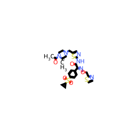 CC(=O)N1CCN(Cc2cnc(NC(=O)/C(=N/OCc3nccs3)c3ccc(S(=O)(=O)C4CC4)cc3)s2)C[C@@H]1C